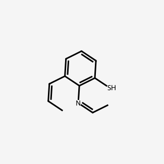 C/C=C\c1cccc(S)c1/N=C\C